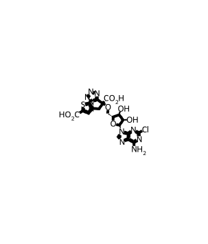 Nc1nc(Cl)nc2c1ncn2[C@@H]1O[C@H](COC(Cc2csc(C(=O)O)c2)(C(=O)O)c2nnn[nH]2)[C@@H](O)[C@H]1O